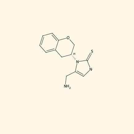 NCC1=C[N]C(=S)N1[C@H]1COc2ccccc2C1